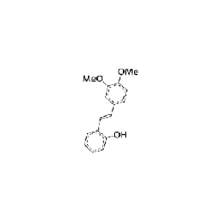 COc1ccc(C=Cc2ccccc2O)cc1OC